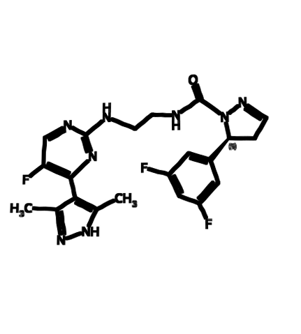 Cc1n[nH]c(C)c1-c1nc(NCCNC(=O)N2N=CC[C@H]2c2cc(F)cc(F)c2)ncc1F